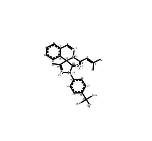 CC(C)=CC(=O)N1N=Cc2ccccc2C12C(=O)N(c1ccc(C(F)(F)F)cc1)N=C2C